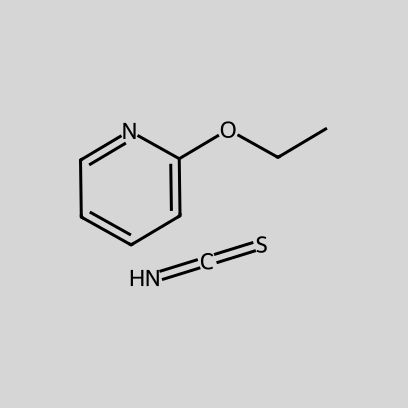 CCOc1ccccn1.N=C=S